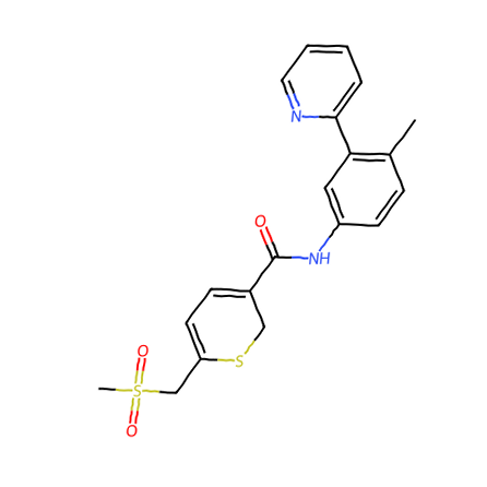 Cc1ccc(NC(=O)C2=CC=C(CS(C)(=O)=O)SC2)cc1-c1ccccn1